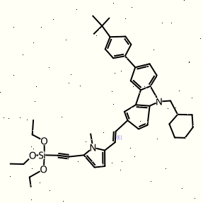 CCO[Si](C#Cc1ccc(/C=C/c2ccc3c(c2)c2cc(-c4ccc(C(C)(C)C)cc4)ccc2n3CC2CCCCC2)n1C)(OCC)OCC